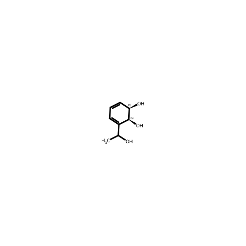 CC(O)C1=CC=C[C@@H](O)[C@H]1O